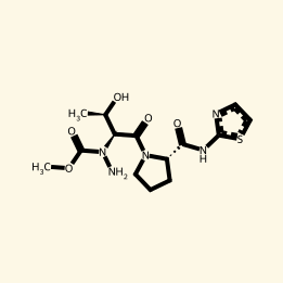 COC(=O)N(N)[C@H](C(=O)N1CCC[C@H]1C(=O)Nc1nccs1)[C@@H](C)O